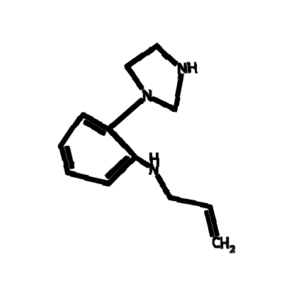 C=CCNc1ccccc1N1CCNC1